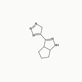 C1CC2NN=C(C3=NN=NC3)C2C1